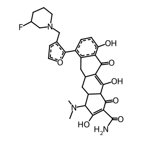 CN(C)C1C(O)=C(C(N)=O)C(=O)C2C(O)=C3C(=O)c4c(O)ccc(-c5occc5CN5CCCC(F)C5)c4CC3CC21